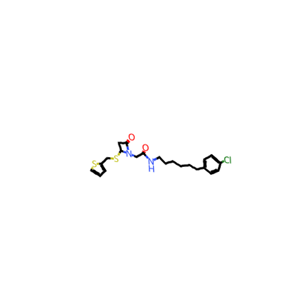 O=C(CN1C(=O)CC1SCc1cccs1)NCCCCCCc1ccc(Cl)cc1